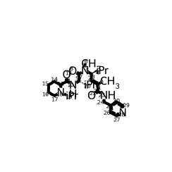 C/C(=C\[C@H](C(C)C)N(C)C(=O)[C@@H](NC(=O)C1CCCCN1C(C)C)C(C)C)C(=O)NCc1ccncc1